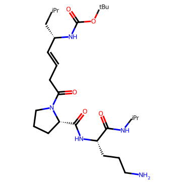 CC(C)C[C@@H](/C=C/CC(=O)N1CCC[C@H]1C(=O)N[C@@H](CCCN)C(=O)NC(C)C)NC(=O)OC(C)(C)C